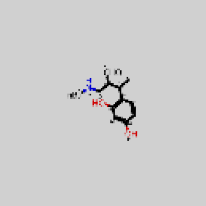 CCCCNCC(C=O)C(C)c1ccc(O)cc1O